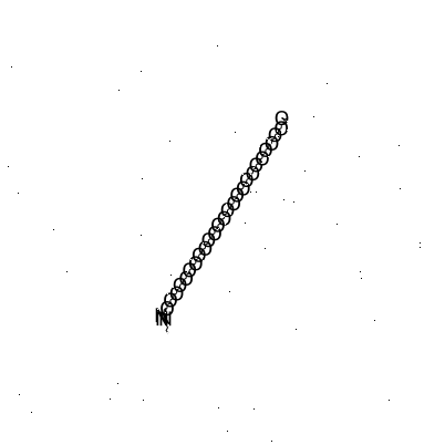 CCCCCn1cc(COCCOCCOCCOCCOCCOCCOCCOCCOCCOCCOCCOCCOCCOCCOCCOCCOCCOCCOCCOCCOCCOCCOCCOCCOCCC(C)=O)nn1